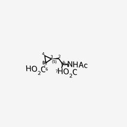 CC(=O)N[C@H](C[C@@H]1C[C@H]1C(=O)O)C(=O)O